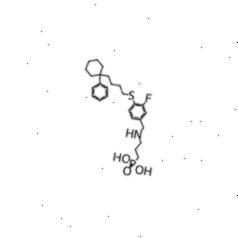 O=P(O)(O)CCCNCc1ccc(SCCCCC2(c3ccccc3)CCCCC2)c(F)c1